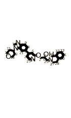 OC(COc1cc(-c2ccc3ncn(C4CCOCC4)c3c2)ccn1)CN1CCc2ccccc2C1